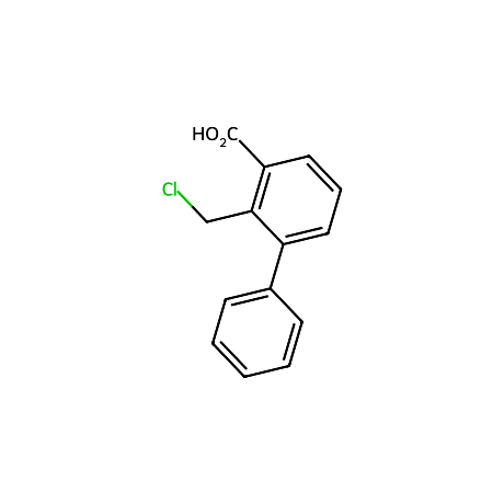 O=C(O)c1cccc(-c2ccccc2)c1CCl